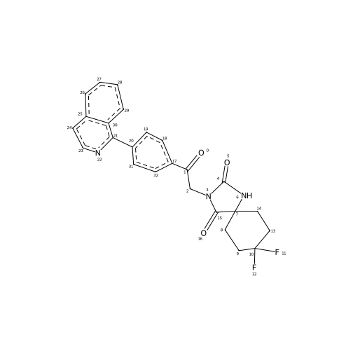 O=C(CN1C(=O)NC2(CCC(F)(F)CC2)C1=O)c1ccc(-c2nccc3ccccc23)cc1